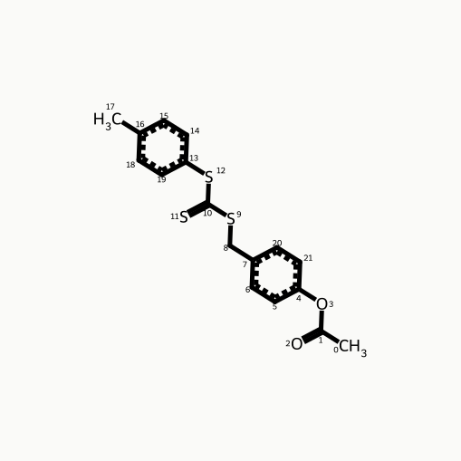 CC(=O)Oc1ccc(CSC(=S)Sc2ccc(C)cc2)cc1